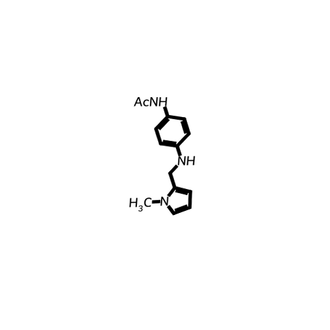 CC(=O)Nc1ccc(NCc2cccn2C)cc1